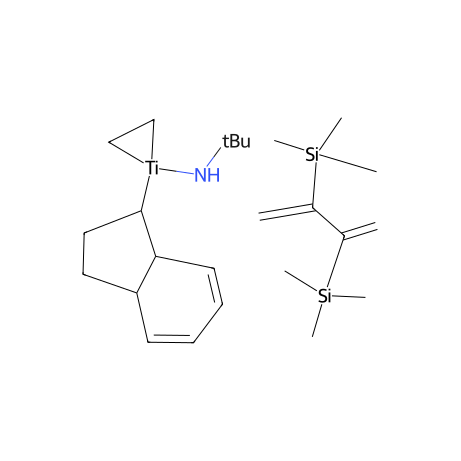 C=C(C(=C)[Si](C)(C)C)[Si](C)(C)C.CC(C)(C)[NH][Ti]1([CH]2CCC3C=CC=CC32)[CH2][CH2]1